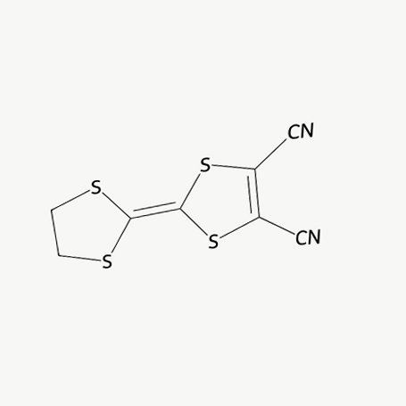 N#CC1=C(C#N)SC(=C2SCCS2)S1